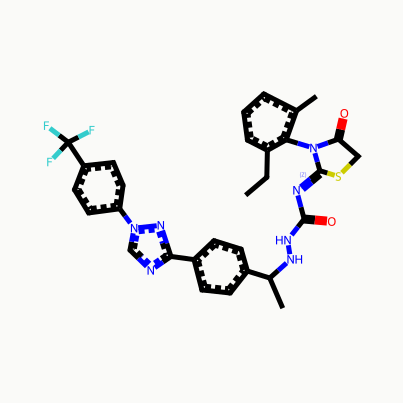 CCc1cccc(C)c1N1C(=O)CS/C1=N\C(=O)NNC(C)c1ccc(-c2ncn(-c3ccc(C(F)(F)F)cc3)n2)cc1